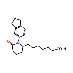 O=C(O)CCCCCCC1CCCC(=O)N1c1ccc2c(c1)CCC2